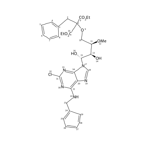 CCOC(=O)C(Cc1ccccc1)(OC[C@@H](OC)[C@@H](O)[C@@H](O)n1cnc2c(NCc3ccccc3)nc(Cl)nc21)C(=O)OCC